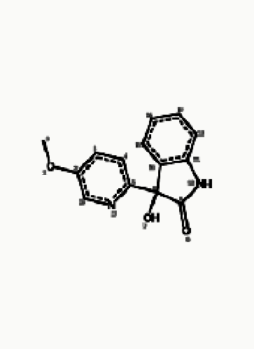 COc1ccc(C2(O)C(=O)Nc3ccccc32)nc1